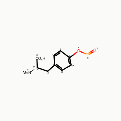 CN[C@@H](Cc1ccc(OP=O)cc1)C(=O)O